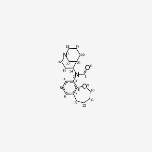 O=CN(c1cccc2c1OCCCC2)C1CCN2CCCC1C2